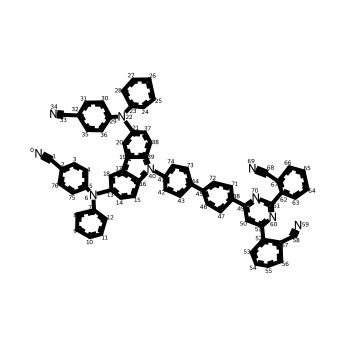 N#Cc1ccc(N(c2ccccc2)c2ccc3c(c2)c2cc(N(c4ccccc4)c4ccc(C#N)cc4)ccc2n3-c2ccc(-c3ccc(-c4cc(-c5ccccc5C#N)nc(-c5ccccc5C#N)n4)cc3)cc2)cc1